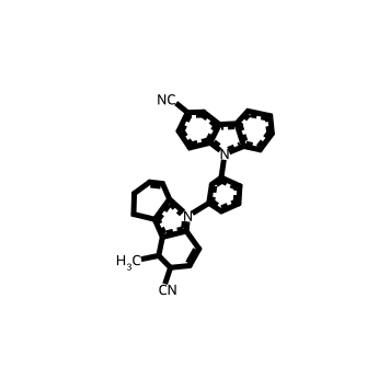 CC1c2c3c(n(-c4cccc(-n5c6ccccc6c6cc(C#N)ccc65)c4)c2C=CC1C#N)C=CCC3